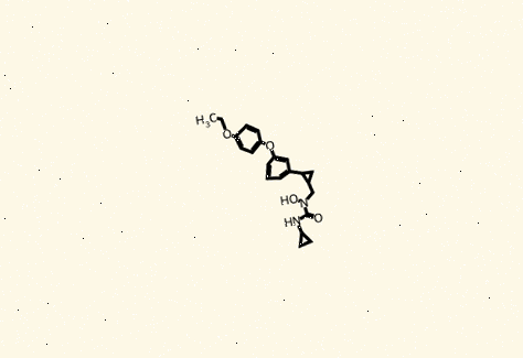 CCOc1ccc(Oc2cccc(C3CC3CN(O)C(=O)NC3CC3)c2)cc1